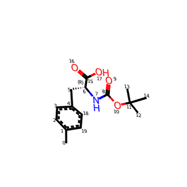 Cc1ccc(C[C@@H](NC(=O)OC(C)(C)C)C(=O)O)cc1